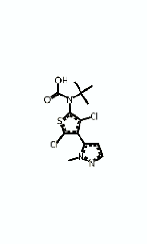 Cn1nccc1-c1c(Cl)sc(N(C(=O)O)C(C)(C)C)c1Cl